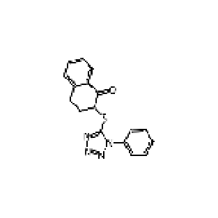 O=C1c2ccccc2CCC1Sc1nnnn1-c1ccccc1